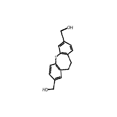 OCc1ccc2c(c1)CCc1ccc(CO)cc1S2